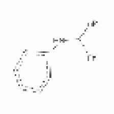 C[CH]CC(CC)Nc1ccccc1